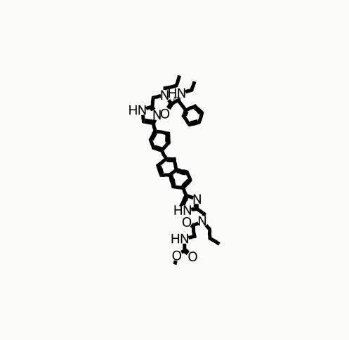 CCCN(Cc1nc(-c2ccc3cc(-c4ccc(-c5c[nH]c(CN(CCC)C(=O)[C@H](NCC)c6ccccc6)n5)cc4)ccc3c2)c[nH]1)C(=O)CNC(=O)OC